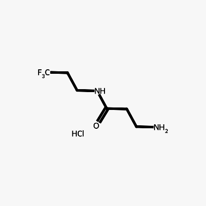 Cl.NCCC(=O)NCCC(F)(F)F